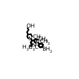 Bc1cc(C)c(-n2c(C)c(C)c3c(N4CCC(CCCO)CC4)cc(C)nc32)c(C)c1